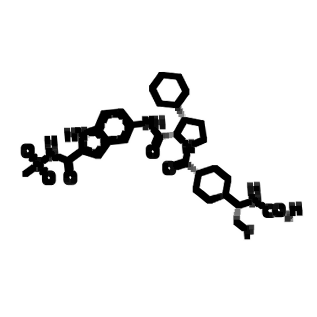 CS(=O)(=O)NC(=O)c1cc2cc(NC(=O)[C@@H]3[C@H](C4CCCCC4)CCN3C(=O)[C@H]3CC[C@H]([C@@H](CF)NC(=O)O)CC3)ccc2[nH]1